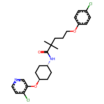 CC(C)(CCCOc1ccc(Cl)cc1)C(=O)N[C@H]1CC[C@H](Oc2cnccc2Cl)CC1